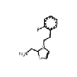 NCC1SC=CN1CCc1ccccc1F